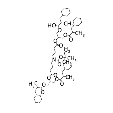 CC(CC1CCCCC1)C(=O)OCC(COC(=O)C(C)CC1CCCCC1)OC(=O)CCCN(CCCC(=O)OC(COC(=O)C(C)CC1CCCCC1)COC(O)C(C)CC1CCCCC1)C(=O)OC(C)(C)C